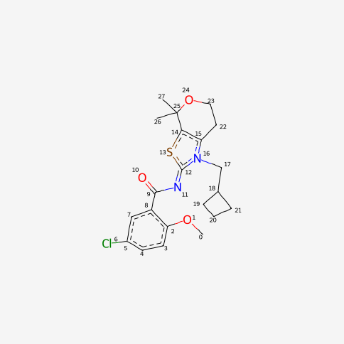 COc1ccc(Cl)cc1C(=O)N=c1sc2c(n1CC1CCC1)CCOC2(C)C